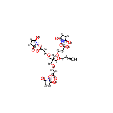 C#CCCOCC(COCCC(=O)ON1C(=O)CCC1=O)(COCCC(=O)ON1C(=O)CCC1=O)COCCC(=O)ON1C(=O)CCC1=O